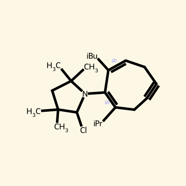 CCC(C)C1=C/CC#CC/C(C(C)C)=C\1N1C(Cl)C(C)(C)CC1(C)C